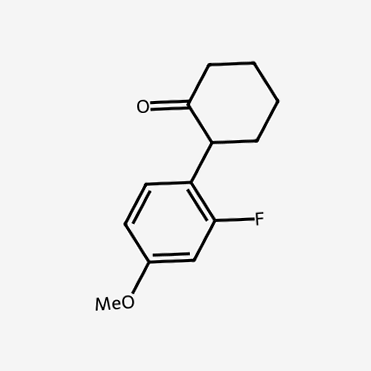 COc1ccc(C2CCCCC2=O)c(F)c1